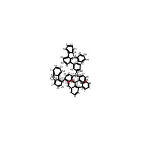 c1ccc(-c2cccc3cccc(-c4ccccc4N(c4ccc(-c5cccc6oc7ccccc7c56)cc4)c4cccc(-c5cccc6c7ccccc7n(-c7ccccc7)c56)c4)c23)cc1